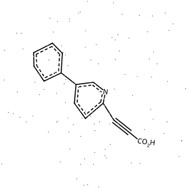 O=C(O)C#Cc1ccc(-c2ccccc2)cn1